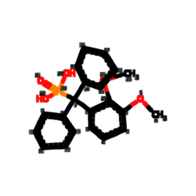 COc1cccc(C(c2ccccc2)(c2ccccc2)P(=O)(O)O)c1OC